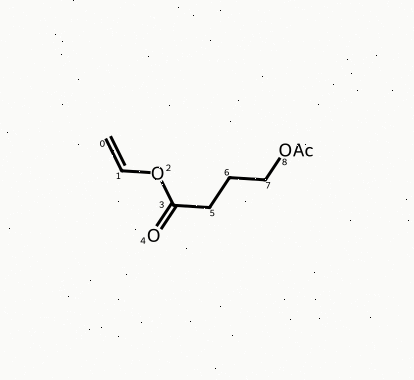 C=COC(=O)CCCOC(C)=O